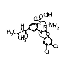 CC(C)NC(=O)c1ccc2c(c1)N(Cc1ccc(Cl)c(Cl)c1)C(=O)[C@@H](N)CS2(=O)=O.Cl